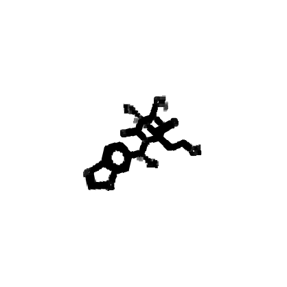 CC[C@H](c1ccc2c(c1)OCO2)N1C(=O)[C@@]2(CC)SSC1(CCC#N)C(=O)N2C